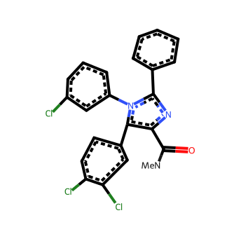 CNC(=O)c1nc(-c2ccccc2)n(-c2cccc(Cl)c2)c1-c1ccc(Cl)c(Cl)c1